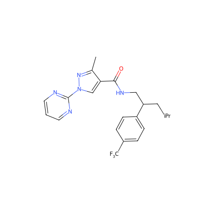 Cc1nn(-c2ncccn2)cc1C(=O)NCC(CC(C)C)c1ccc(C(F)(F)F)cc1